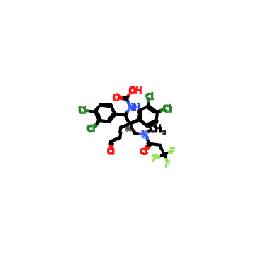 CN(C[C@](CCC=O)(c1ccc(Cl)c(Cl)c1)C(NC(=O)O)c1ccc(Cl)c(Cl)c1)C(=O)CC(F)(F)F